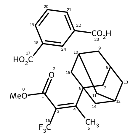 COC(=O)C(=C(C)C12CC3CC(CC(C3)C1)C2)C(F)(F)F.O=C(O)c1cccc(C(=O)O)c1